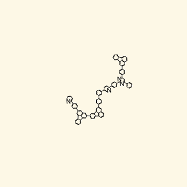 c1ccc(-c2cc(-c3ccc(-c4cc5c6c(cccc6c4)-c4ccccc4-5)cc3)nc(-c3ccc(-c4ccc(-c5cccc(-c6ccc(-c7cc8c9c(cccc9c7)-c7ccc(-c9cc%10c%11c(cc(-c%12ccc(-c%13ccccn%13)cc%12)cc%11c9)-c9ccccc9-%10)cc7-8)cc6)c5)cn4)cc3)n2)cc1